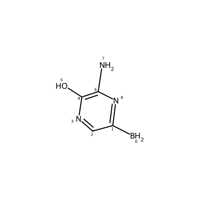 Bc1cnc(O)c(N)n1